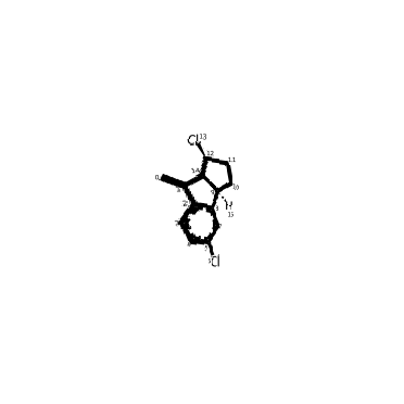 C=C1c2ccc(Cl)cc2[C@@H]2CC[C@H](Cl)C12